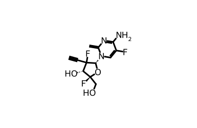 C#CC1(F)[C@@H](O)[C@@](F)(CO)O[C@H]1N1C=C(F)C(N)=NC1=C